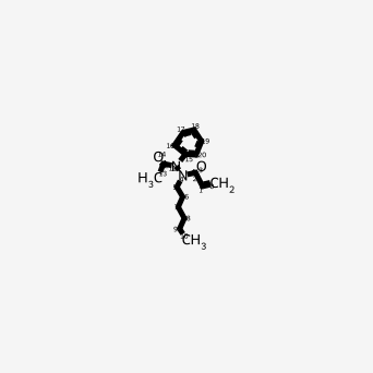 C=CC(=O)N(CCCCCC)N(C(C)=O)c1ccccc1